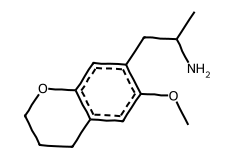 COc1cc2c(cc1CC(C)N)OCCC2